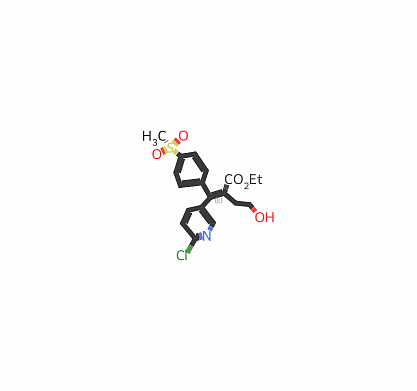 CCOC(=O)/C(CCO)=C(\c1ccc(S(C)(=O)=O)cc1)c1ccc(Cl)nc1